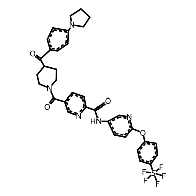 O=C(Nc1ccc(Oc2ccc(S(F)(F)(F)(F)F)cc2)nc1)c1ccc(C(=O)N2CCC(C(=O)c3ccc(N4CCCC4)cc3)CC2)cn1